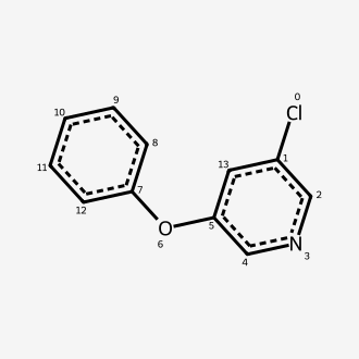 Clc1cncc(Oc2ccccc2)c1